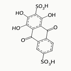 O=C1c2cc(S(=O)(=O)O)ccc2C(=O)c2c(O)c(S(=O)(=O)O)c(O)c(O)c21